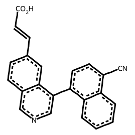 N#Cc1ccc(-c2cncc3ccc(/C=C/C(=O)O)cc23)c2ccccc12